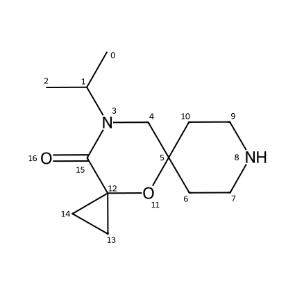 CC(C)N1CC2(CCNCC2)OC2(CC2)C1=O